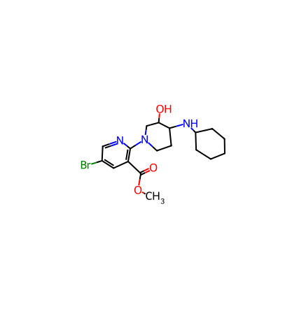 COC(=O)c1cc(Br)cnc1N1CCC(NC2CCCCC2)C(O)C1